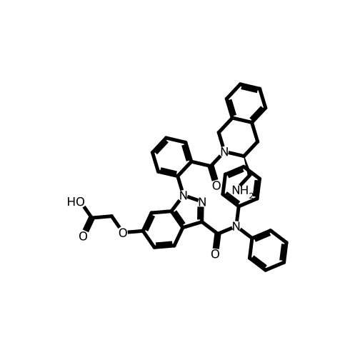 NC[C@@H]1Cc2ccccc2CN1C(=O)c1ccccc1-n1nc(C(=O)N(c2ccccc2)c2ccccc2)c2ccc(OCC(=O)O)cc21